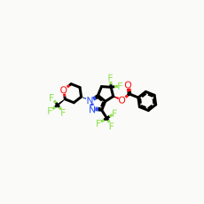 O=C(O[C@H]1c2c(C(F)(F)F)nn([C@H]3CCO[C@H](C(F)(F)F)C3)c2CC1(F)F)c1ccccc1